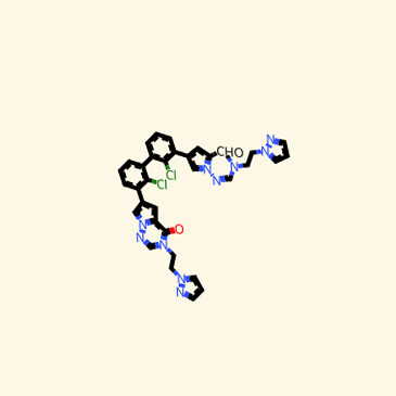 CN(/C=N\n1cc(-c2cccc(-c3cccc(-c4cc5c(=O)n(CCn6cccn6)cnn5c4)c3Cl)c2Cl)cc1C=O)CCn1cccn1